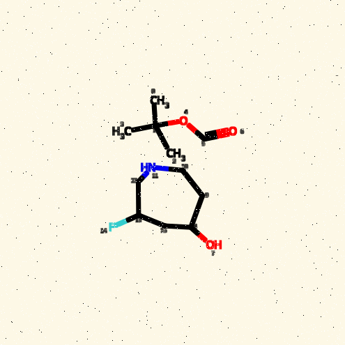 CC(C)(C)OC=O.OC1CCNCC(F)C1